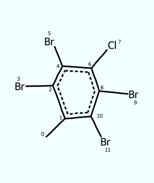 Cc1c(Br)c(Br)c(Cl)c(Br)c1Br